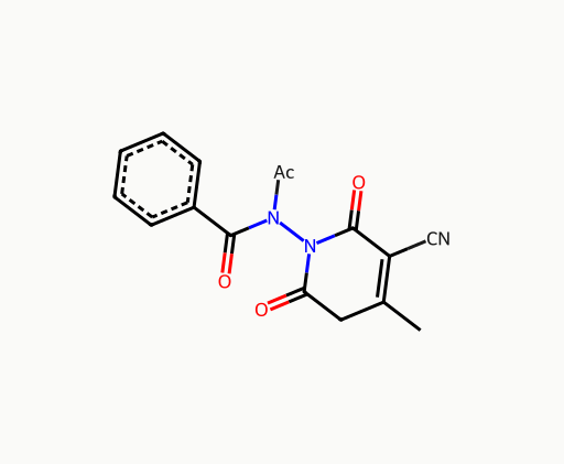 CC(=O)N(C(=O)c1ccccc1)N1C(=O)CC(C)=C(C#N)C1=O